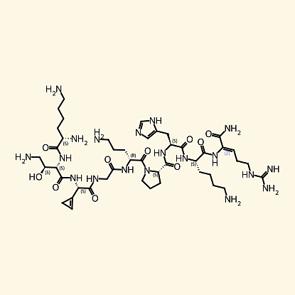 N=C(N)NCC/C=C(\NC(=O)[C@H](CCCCN)NC(=O)[C@H](Cc1cnc[nH]1)NC(=O)[C@@H]1CCCN1C(=O)[C@@H](CCCN)NC(=O)CNC(=O)[C@@H](NC(=O)[C@@H](NC(=O)[C@@H](N)CCCCN)[C@@H](O)CN)C1=CC1)C(N)=O